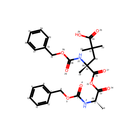 C[C@H](NC(=O)OCc1ccccc1)C(=O)OC(=O)[C@@](C)(CC(C)(C)C(=O)O)NC(=O)OCc1ccccc1